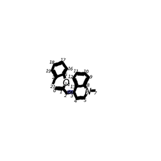 C=C(/C=C1/C=CN(C)c2ccccc21)Oc1ccccc1C